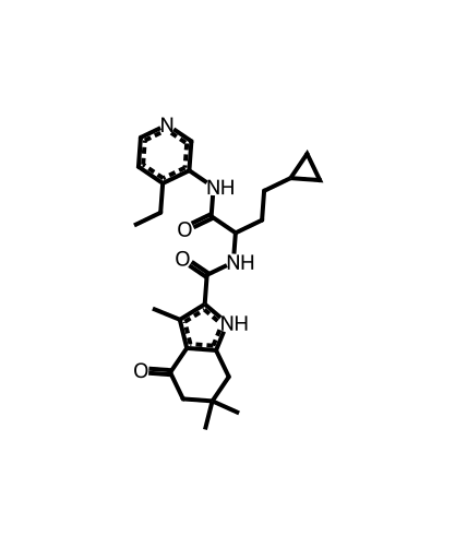 CCc1ccncc1NC(=O)C(CCC1CC1)NC(=O)c1[nH]c2c(c1C)C(=O)CC(C)(C)C2